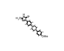 COc1ccc(N2CCN(c3ccc(-n4nc(C)[nH]c4=O)cc3)CC2)cc1